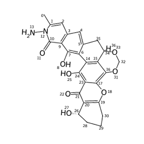 Cc1cc2cc3c(c(O)c2c(=O)n1N)-c1c2c(c4oc5c(c(=O)c4c1O)[C@@H](O)CCC5)OCO[C@@H]2C3